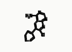 Nc1ncnc2nc(Cl)c(-c3ccccc3)cc12